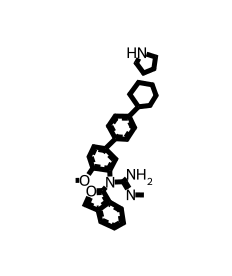 C1CCNC1.CN=C(N)N(c1cc(-c2ccc(C3CCCCC3)cc2)ccc1OC)c1occ2ccccc12